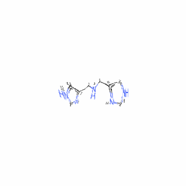 c1nc(CNCc2c[nH]cn2)c[nH]1